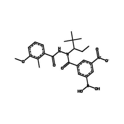 CCC(N(NC(=O)c1cccc(OC)c1C)C(=O)c1cc(B(O)O)cc([N+](=O)[O-])c1)C(C)(C)C